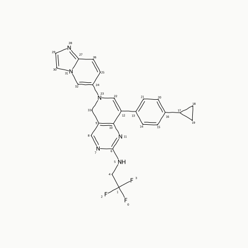 FC(F)(F)CNc1ncc2c(n1)C(c1ccc(C3CC3)cc1)=CN(c1ccc3nccn3c1)C2